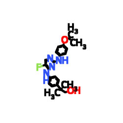 CC(C)Oc1ccc(Nc2ncc(F)c(Nc3ccc(C(C)(C)CO)cc3)n2)cc1